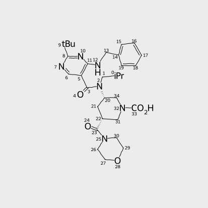 CC(C)CN(C(=O)c1cnc(C(C)(C)C)nc1NCc1ccccc1)[C@H]1C[C@@H](C(=O)N2CCOCC2)CN(C(=O)O)C1